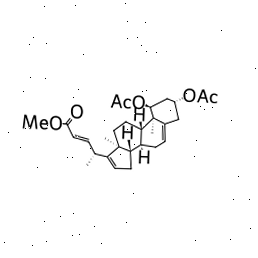 COC(=O)C=C[C@@H](C)C1=CC[C@H]2[C@@H]3CC=C4C[C@@H](OC(C)=O)C[C@H](OC(C)=O)[C@]4(C)[C@H]3CC[C@]12C